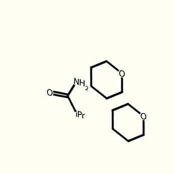 C1CCOCC1.C1CCOCC1.CC(C)C(N)=O